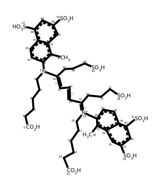 Cc1c(N(CCCCCC(=O)O)/C(=C/C=C/C(CCCS(=O)(=O)O)=[N+](\CCCCCC(=O)O)c2ccc3c(S(=O)(=O)O)cc(S(=O)(=O)O)cc3c2C)CCCS(=O)(=O)O)ccc2c(S(=O)(=O)O)cc(S(=O)(=O)O)cc12